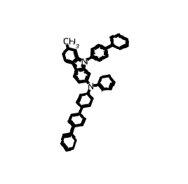 CC1C=c2c(c3ccc(N(C4=CC=CCC4)C4C=CC(C5=CC=C(C6=CC=CCC6)CC5)=CC4)cc3n2-c2ccc(C3C=CC=CC3)cc2)=CC1